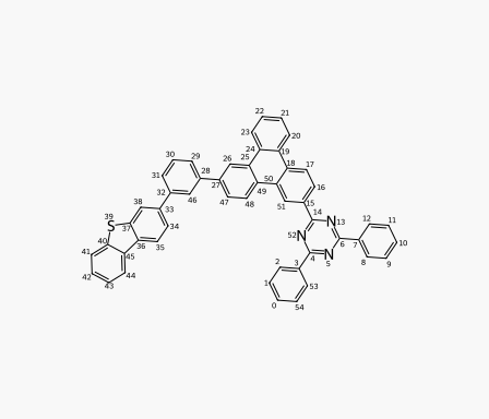 c1ccc(-c2nc(-c3ccccc3)nc(-c3ccc4c5ccccc5c5cc(-c6cccc(-c7ccc8c(c7)sc7ccccc78)c6)ccc5c4c3)n2)cc1